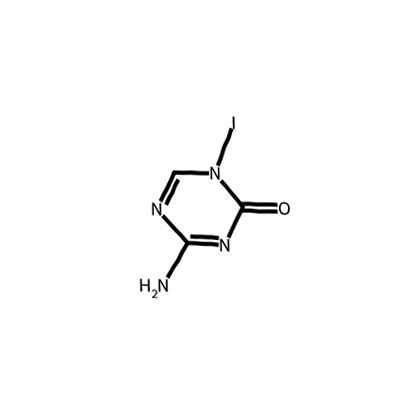 Nc1ncn(I)c(=O)n1